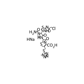 Cn1nnnc1SCC1=C(C(=O)O)N2C(=O)[C@H](NC(=O)C(NC(N)=O)c3cs/c(=N/C(=O)CCl)[nH]3)C2SC1.[NaH]